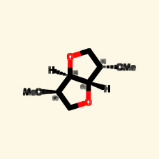 CO[C@H]1CO[C@H]2[C@H]1OC[C@H]2OC